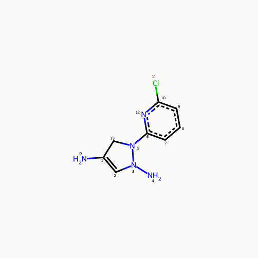 NC1=CN(N)N(c2cccc(Cl)n2)C1